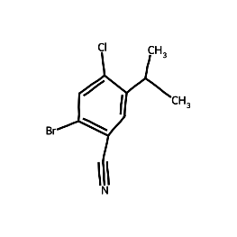 CC(C)c1cc(C#N)c(Br)cc1Cl